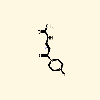 CC(=O)N/C=C/C(=O)N1CCN(I)CC1